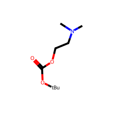 CN(C)CCOC(=O)OC(C)(C)C